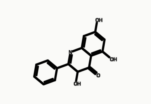 O=C1c2c(O)cc(O)cc2N=C(c2ccccc2)C1O